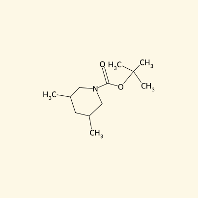 CC1CC(C)CN(C(=O)OC(C)(C)C)C1